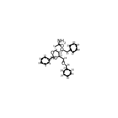 NC(=O)C[C@@H](OCc1ccccc1)[C@H](OCc1ccccc1)C(O)COCc1ccccc1